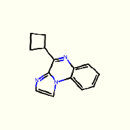 c1ccc2c(c1)nc(C1CCC1)c1nccn12